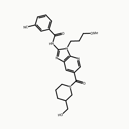 COCCCn1c(NC(=O)c2cccc(C#N)c2)nc2cc(C(=O)N3CCCC(CO)C3)cnc21